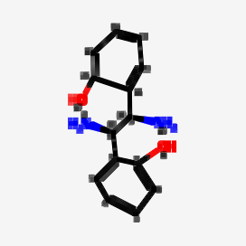 N[C@H](c1ccccc1O)[C@H](N)c1ccccc1O